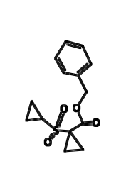 O=C(OCc1ccccc1)C1(S(=O)(=O)C2CC2)CC1